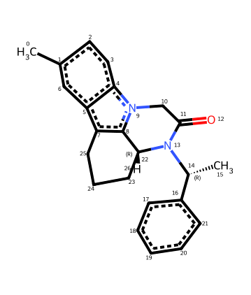 Cc1ccc2c(c1)c1c3n2CC(=O)N([C@H](C)c2ccccc2)[C@@H]3CCC1